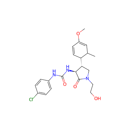 COC1=CC(C)C([C@@H]2CN(CCO)C(=O)[C@H]2NC(=O)Nc2ccc(Cl)cc2)C=C1